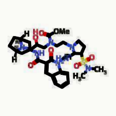 COC(=O)N(CCN1CCC(S(=O)(=O)N(C)C)C1N)CC(O)CN1[C@@H]2CC[C@H]1CC(NC(=O)c1cc3ccccc3n(C(C)C)c1=O)C2